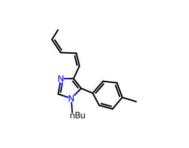 C/C=C\C=C/c1ncn(CCCC)c1-c1ccc(C)cc1